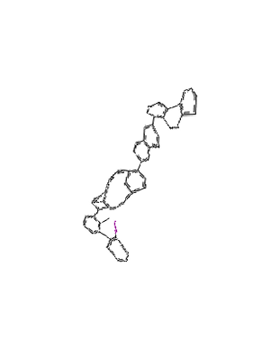 Cc1c(-c2ccccc2I)cccc1-c1ccc2ccc3cc(ccc3-c3ccc4cc(-c5cccc6c5CCc5ccccc5-6)ccc4c3)ccc1c2C